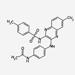 CC(=O)Nc1ccc(Nc2nc3cc(C)ccc3nc2NS(=O)(=O)c2ccc(C)cc2)cc1